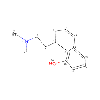 CC(C)N(C)CCc1cccc2cccc(O)c12